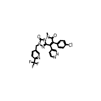 Cn1c(=O)c(-c2ccc(Cl)cc2)c(-c2ccnnc2)c2nn(Cc3ccc(C(F)(F)F)nc3)c(=O)n21